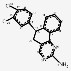 Nc1ncc2c(n1)-c1ccccc1[C@H](c1ccc(Cl)c(Cl)c1)C2